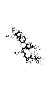 CN(CCN(C)C(=O)OC(C)(C)C)Cc1cn(C)nc1[C@H]1CC[C@]2(CC1)CC(C)(C)CO2